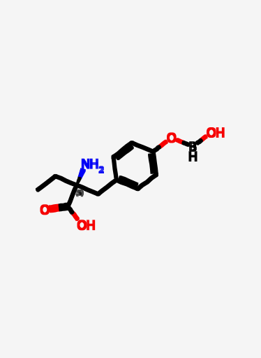 CC[C@](N)(Cc1ccc(OBO)cc1)C(=O)O